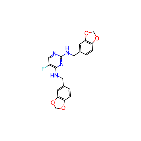 Fc1cnc(NCc2ccc3c(c2)OCO3)nc1NCc1ccc2c(c1)OCO2